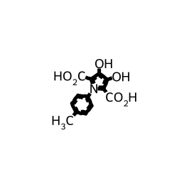 Cc1ccc(-n2c(C(=O)O)c(O)c(O)c2C(=O)O)cc1